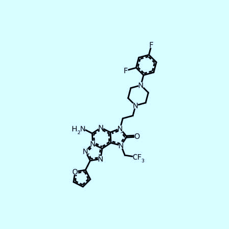 Nc1nc2c(c3nc(-c4ccco4)nn13)n(CC(F)(F)F)c(=O)n2CCN1CCN(c2ccc(F)cc2F)CC1